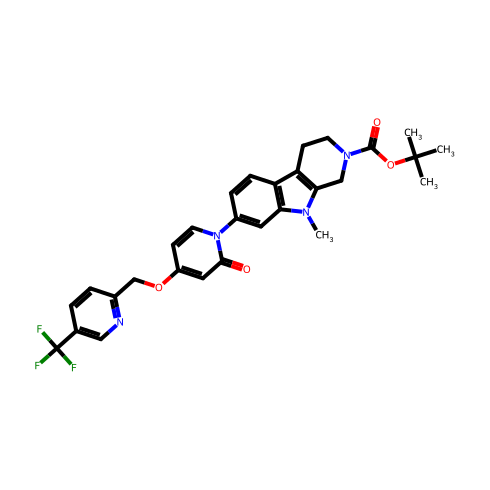 Cn1c2c(c3ccc(-n4ccc(OCc5ccc(C(F)(F)F)cn5)cc4=O)cc31)CCN(C(=O)OC(C)(C)C)C2